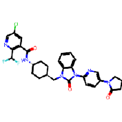 O=C(N[C@H]1CC[C@H](Cn2c(=O)n(-c3ccc(N4CCCC4=O)cn3)c3ccccc32)CC1)c1cc(Cl)cnc1C(F)F